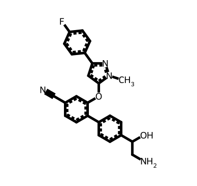 Cn1nc(-c2ccc(F)cc2)cc1Oc1cc(C#N)ccc1-c1ccc(C(O)CN)cc1